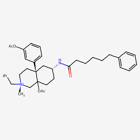 CC(=O)Oc1cccc([C@]23CC[N@@+](C)(CC(C)C)CC2(OC(C)=O)CC[C@@H](NC(=O)CCCCCc2ccccc2)C3)c1